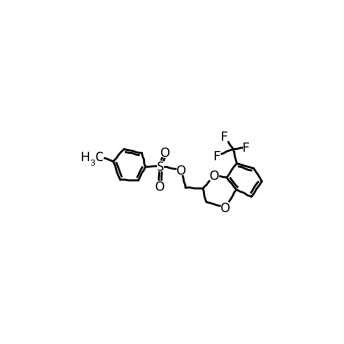 Cc1ccc(S(=O)(=O)OCC2COc3cccc(C(F)(F)F)c3O2)cc1